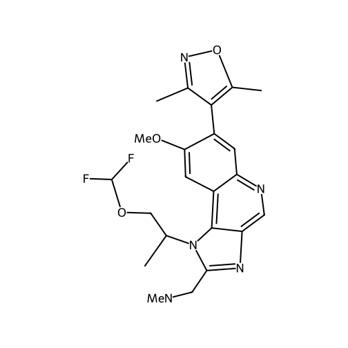 CNCc1nc2cnc3cc(-c4c(C)noc4C)c(OC)cc3c2n1C(C)COC(F)F